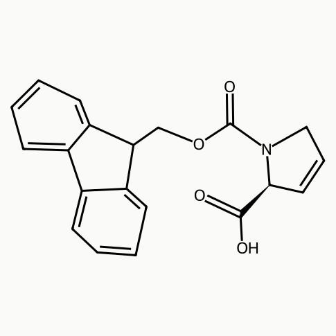 O=C(O)[C@@H]1C=CCN1C(=O)OCC1c2ccccc2-c2ccccc21